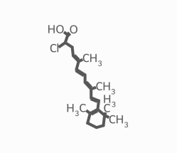 CC1=C(/C=C/C(C)=C/C=C/C(C)=C/CC(Cl)C(=O)O)C(C)(C)CCC1